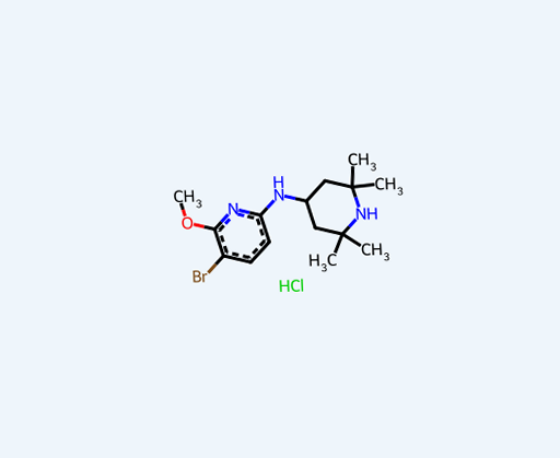 COc1nc(NC2CC(C)(C)NC(C)(C)C2)ccc1Br.Cl